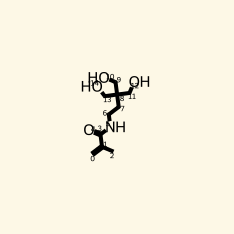 C=C(C)C(=O)NCCC(CO)(CO)CO